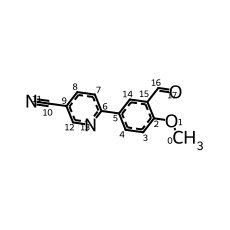 COc1ccc(-c2ccc(C#N)cn2)cc1C=O